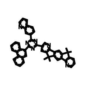 CC1(C)c2cc3c(cc2-c2ncccc21)C(C)(C)c1cc(-c2nc(-c4ccc5cccnc5c4)nc(-c4cc5ccccc5c5ccccc45)n2)cnc1-3